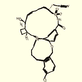 N#CC[C@H]1CC/C=C\[C@H](O)[C@@H]2CC[C@H]2CN2CCCCc3cc(Cl)ccc3COc3ccc(cc32)C(=O)NS1(=O)=O